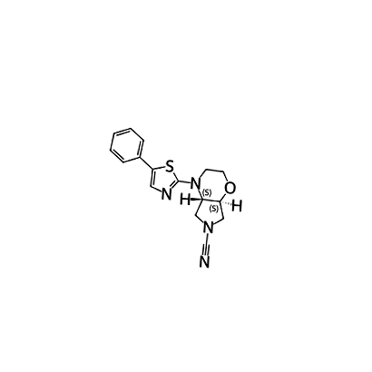 N#CN1C[C@@H]2OCCN(c3ncc(-c4ccccc4)s3)[C@H]2C1